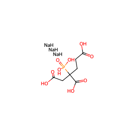 O=C(O)CCC(CC(=O)O)(C(=O)O)P(=O)(O)O.[NaH].[NaH].[NaH]